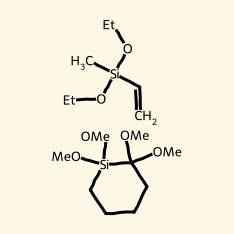 C=C[Si](C)(OCC)OCC.COC1(OC)CCCC[Si]1(OC)OC